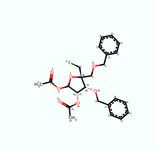 CC(=O)OC1O[C@](CF)(COCc2ccccc2)[C@H](OCc2ccccc2)[C@@H]1OC(C)=O